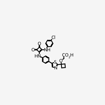 O=C(O)COC1(c2ncc(-c3ccc(Nc4c(Nc5ccc(Cl)cc5)c(=O)c4=O)cc3)s2)CCC1